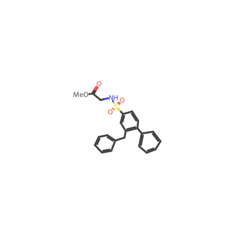 COC(=O)CNS(=O)(=O)c1ccc(-c2ccccc2)c(Cc2ccccc2)c1